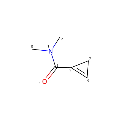 CN(C)C(=O)C1=CC1